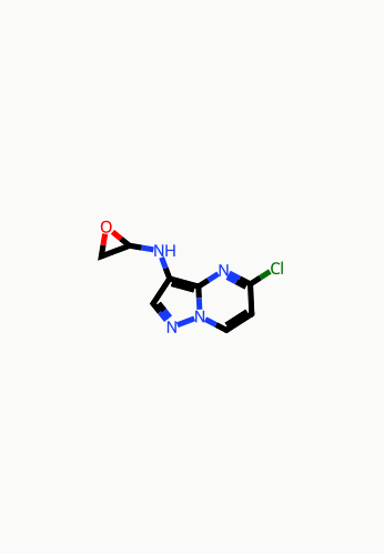 Clc1ccn2ncc(NC3CO3)c2n1